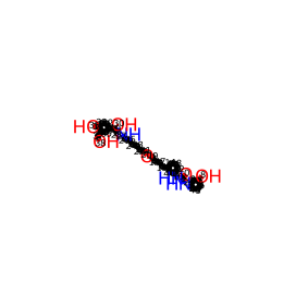 O=C(Nc1cccc(O)c1)Nc1cccc(CCCCOCCCCCCNC[C@H](O)c2ccc(O)c(CO)c2)c1